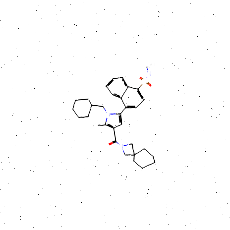 Cc1c(C(=O)N2CC3(CCCCC3)C2)cc(-c2ccc(S(=O)(=O)NC(C)(C)C)c3ccccc23)n1CC1CCCCC1